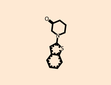 O=C1CCCN(c2cc3ccccc3s2)C1